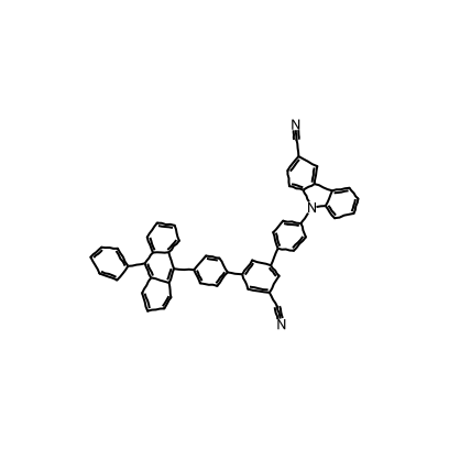 N#Cc1cc(-c2ccc(-c3c4ccccc4c(-c4ccccc4)c4ccccc34)cc2)cc(-c2ccc(-n3c4ccccc4c4cc(C#N)ccc43)cc2)c1